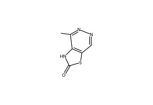 Cc1nncc2sc(=O)[nH]c12